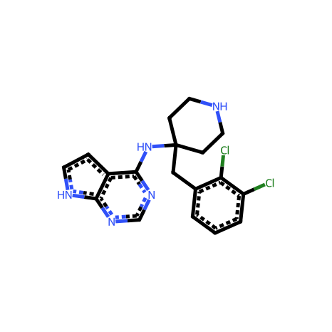 Clc1cccc(CC2(Nc3ncnc4[nH]ccc34)CCNCC2)c1Cl